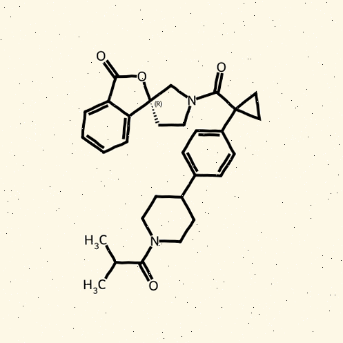 CC(C)C(=O)N1CCC(c2ccc(C3(C(=O)N4CC[C@@]5(C4)OC(=O)c4ccccc45)CC3)cc2)CC1